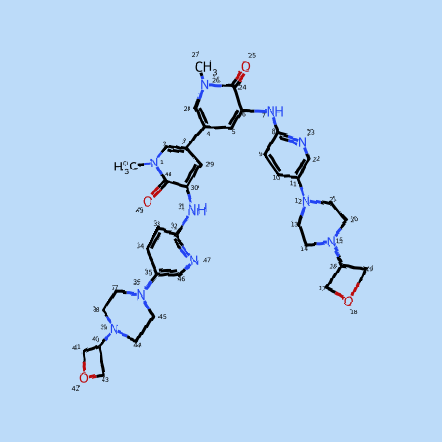 Cn1cc(-c2cc(Nc3ccc(N4CCN(C5COC5)CC4)cn3)c(=O)n(C)c2)cc(Nc2ccc(N3CCN(C4COC4)CC3)cn2)c1=O